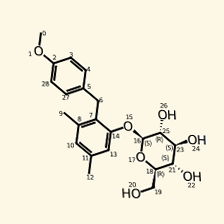 COc1ccc(Cc2c(C)cc(C)cc2O[C@@H]2O[C@H](CO)[C@@H](O)[C@H](O)[C@H]2O)cc1